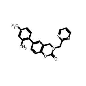 Cc1cc(C(F)(F)F)ccc1-c1ccc2c(c1)CN(Cc1ncccn1)C(=O)O2